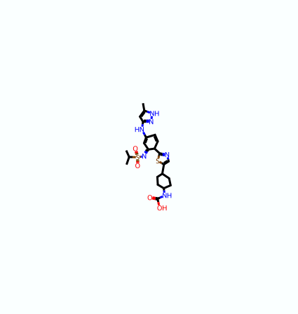 Cc1cc(NC2=CC(=NS(=O)(=O)C(C)C)C(c3ncc(C4CCC(NC(=O)O)CC4)s3)C=C2)n[nH]1